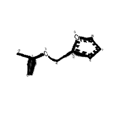 C=C(C)OCc1ccco1